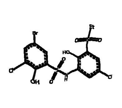 CCS(=O)(=O)c1cc(Cl)cc(NS(=O)(=O)c2cc(Br)cc(Cl)c2O)c1O